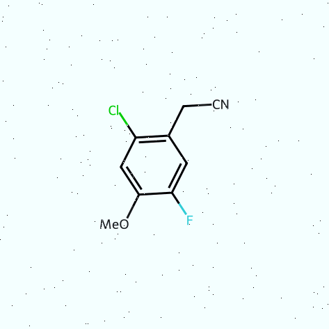 COc1cc(Cl)c(CC#N)cc1F